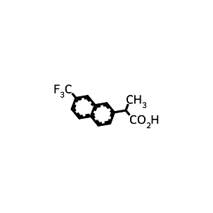 CC(C(=O)O)c1ccc2ccc(C(F)(F)F)cc2c1